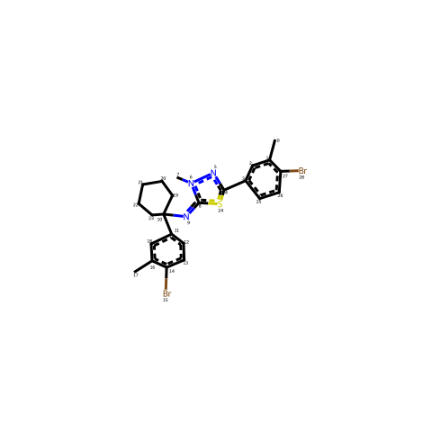 Cc1cc(-c2nn(C)c(=NC3(c4ccc(Br)c(C)c4)CCCCC3)s2)ccc1Br